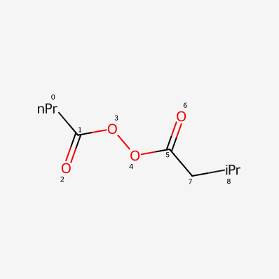 CCCC(=O)OOC(=O)CC(C)C